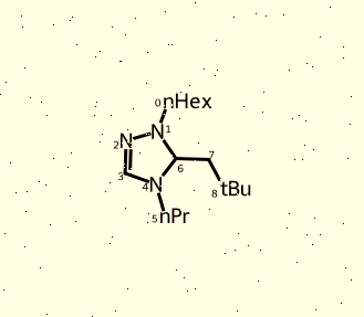 CCCCCCN1N=CN(CCC)C1CC(C)(C)C